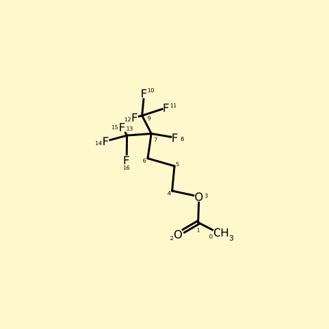 CC(=O)OCCCC(F)(C(F)(F)F)C(F)(F)F